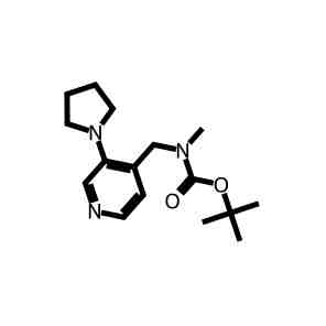 CN(Cc1ccncc1N1CCCC1)C(=O)OC(C)(C)C